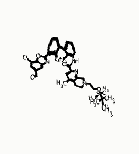 Cc1cc(C(=O)Nc2cccc(-c3cccc(-c4nc5cc(C=O)cc(Cl)c5o4)c3C)c2Cl)nc2c1CCN(CCO[Si](C)(C)C(C)(C)C)C2